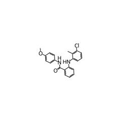 COc1ccc(NC(=O)c2ccccc2Nc2cccc(Cl)c2C)cc1